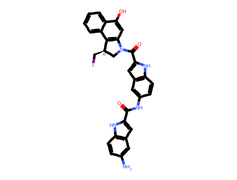 Nc1ccc2[nH]c(C(=O)Nc3ccc4[nH]c(C(=O)N5C[C@@H](CI)c6c5cc(O)c5ccccc65)cc4c3)cc2c1